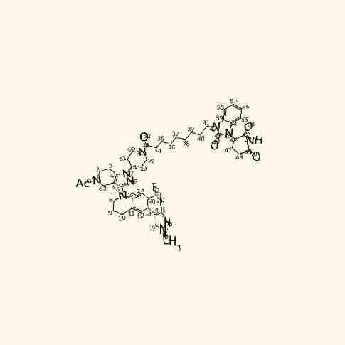 CC(=O)N1CCc2c(c(N3CCCc4cc(-c5cnn(C)c5)c(C(F)F)cc43)nn2C2CCN(C(=O)CCCCCCCCn3c(=O)n(C4CCC(=O)NC4=O)c4ccccc43)CC2)C1